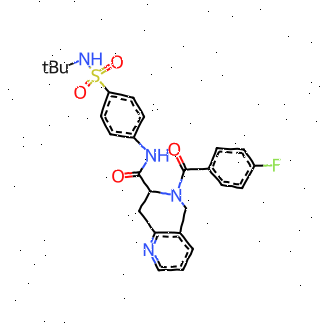 CC(C)(C)NS(=O)(=O)c1ccc(NC(=O)C2Cc3ncccc3CN2C(=O)c2ccc(F)cc2)cc1